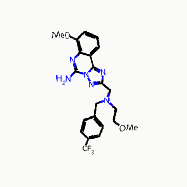 COCCN(Cc1ccc(C(F)(F)F)cc1)Cc1nc2c3cccc(OC)c3nc(N)n2n1